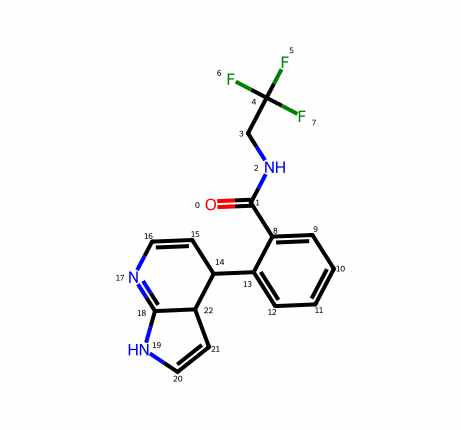 O=C(NCC(F)(F)F)c1ccccc1C1C=CN=C2NC=CC21